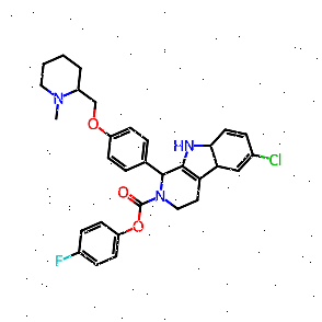 CN1CCCCC1COc1ccc(C2C3=C(CCN2C(=O)Oc2ccc(F)cc2)C2C=C(Cl)C=CC2N3)cc1